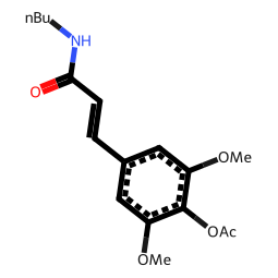 CCCCNC(=O)/C=C/c1cc(OC)c(OC(C)=O)c(OC)c1